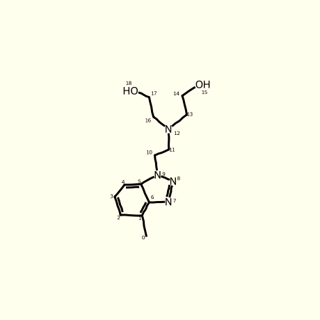 Cc1cccc2c1nnn2CCN(CCO)CCO